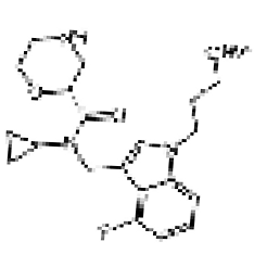 COCCCn1cc(CN(C(=O)[C@H]2CNCCO2)C2CC2)c2c(F)cccc21